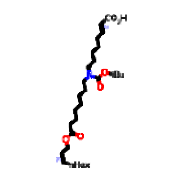 CCCCCC/C=C\COC(=O)CCCCCCCN(CCCCC/C=C/C(=O)O)C(=O)OC(C)(C)C